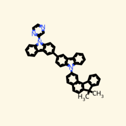 CC1(C)c2ccccc2-c2c1ccc1ccc(-n3c4ccccc4c4cc(-c5ccc6c(c5)c5ccccc5n6-c5cnccn5)ccc43)cc21